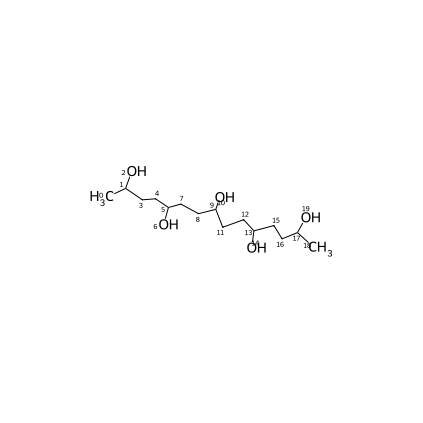 CC(O)CCC(O)CCC(O)CCC(O)CCC(C)O